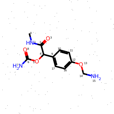 CNC(=O)C(OC(N)=O)c1ccc(OCN)cc1